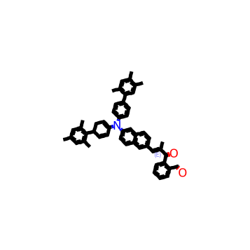 C/C(=C\c1ccc2cc(N(C3=CCC(c4c(C)cc(C)cc4C)C=C3)c3ccc(-c4cc(C)c(C)cc4C)cc3)ccc2c1)C(=O)c1ccccc1C=O